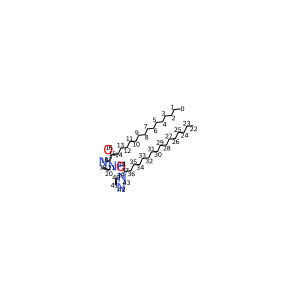 CCCCCCCCCCCCCCCC(=O)c1ncc[nH]1.CCCCCCCCCCCCCCCC(=O)n1ccnc1